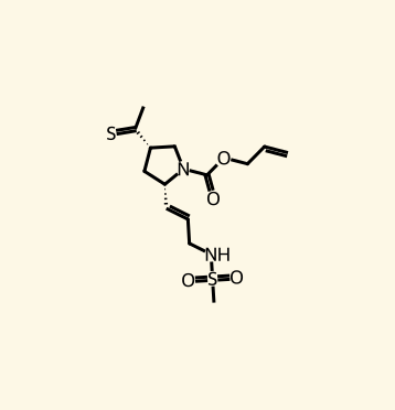 C=CCOC(=O)N1C[C@@H](C(C)=S)C[C@H]1/C=C/CNS(C)(=O)=O